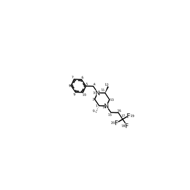 C[C@@H]1CN(Cc2ccccc2)[C@@H](C)CN1CCC(F)(F)F